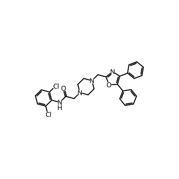 O=C(CN1CCN(Cc2nc(-c3ccccc3)c(-c3ccccc3)o2)CC1)Nc1c(Cl)cccc1Cl